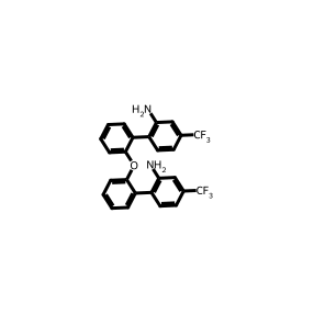 Nc1cc(C(F)(F)F)ccc1-c1ccccc1Oc1ccccc1-c1ccc(C(F)(F)F)cc1N